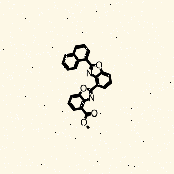 COC(=O)c1cccc2oc(-c3cccc4oc(-c5cccc6ccccc56)nc34)nc12